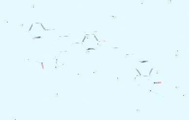 CC(=O)OC1(CSC(CCCc2ccccc2)c2ccc(OCCCOc3ccc(C(=O)C(F)(F)F)cc3)cc2)CC1